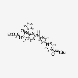 CCOC(=O)Oc1c(C)c2cnc(Nc3ccc(N4CCN(C(=O)OC(C)(C)C)CC4)cn3)nc2n(C2CCCC2)c1=O